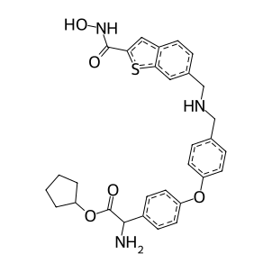 NC(C(=O)OC1CCCC1)c1ccc(Oc2ccc(CNCc3ccc4cc(C(=O)NO)sc4c3)cc2)cc1